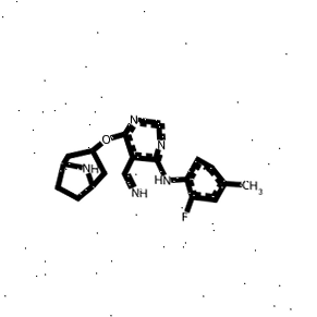 Cc1ccc(Nc2ncnc(OC3CC4CCC(C3)N4)c2C=N)c(F)c1